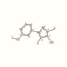 COc1cccc(-n2nc(C)c(Cl)c2C)c1